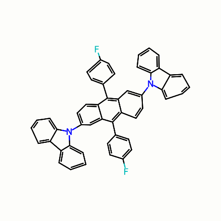 Fc1ccc(-c2c3ccc(-n4c5ccccc5c5ccccc54)cc3c(-c3ccc(F)cc3)c3ccc(-n4c5ccccc5c5ccccc54)cc23)cc1